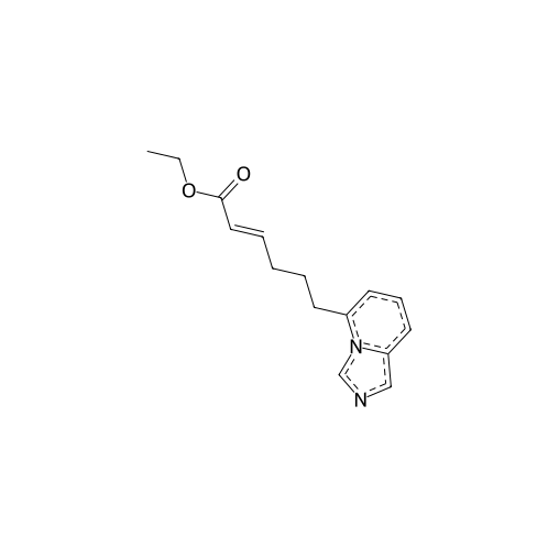 CCOC(=O)C=CCCCc1cccc2cncn12